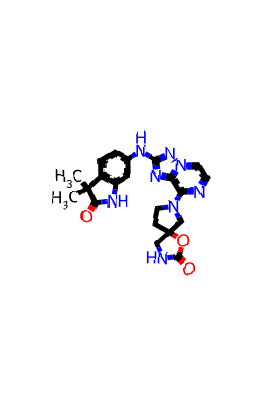 CC1(C)C(=O)Nc2cc(Nc3nc4c(N5CCC6(CNC(=O)O6)C5)nccn4n3)ccc21